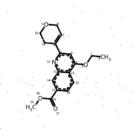 CCOc1cc(C2=CCOCC2)nc2cc(C(=O)OC)ccc12